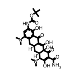 CN(C)c1cc(NC(=O)OC(C)(C)C)c(O)c2c1C[C@@H]1C[C@@H]3[C@H](N(C)C)C(O)=C(C(N)=O)C(=O)[C@@]3(O)C(O)=C1C2=O